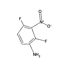 Nc1ccc(F)c([N+](=O)[O-])c1F